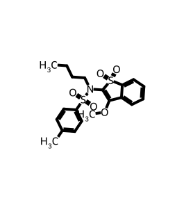 CCCCN(C1=C(OC)c2ccccc2S1(=O)=O)S(=O)(=O)c1ccc(C)cc1